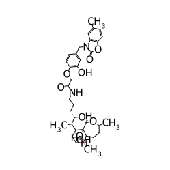 Cc1ccc2oc(=O)n(Cc3ccc(OCC(=O)NCCC[C@@H]4O[C@@H]5O[C@@H](C)CC[C@H]6[C@H](C)CC[C@@H]([C@H]4C)[C@@]56OO)c(O)c3)c2c1